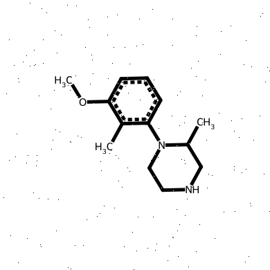 COc1cccc(N2CCNCC2C)c1C